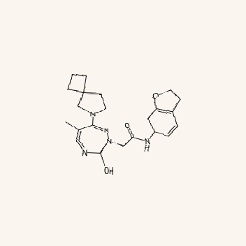 CC1=C=NC(O)N(CC(=O)NC2C=CC3=C(C2)OCC3)N=C1N1CCC2(CCC2)C1